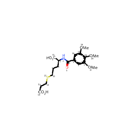 COc1cc(C(=O)NC(CCCSCCC(=O)O)C(=O)O)cc(OC)c1OC